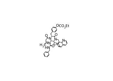 CCOC(=O)Oc1ccc(C[C@H]2C(=O)N(Cc3cccc4cccnc34)[C@@H](C)C3N2C(=O)CN(C)N3C(=O)NCc2ccccc2)cc1